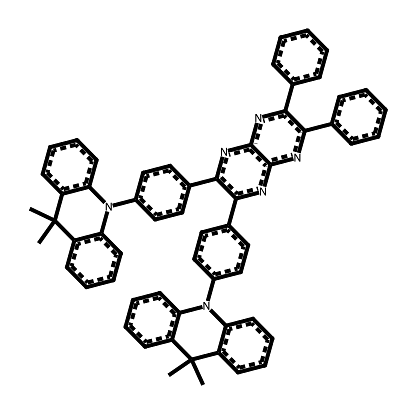 CC1(C)c2ccccc2N(c2ccc(-c3nc4nc(-c5ccccc5)c(-c5ccccc5)nc4nc3-c3ccc(N4c5ccccc5C(C)(C)c5ccccc54)cc3)cc2)c2ccccc21